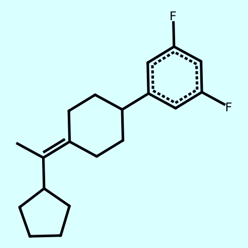 CC(=C1CCC(c2cc(F)cc(F)c2)CC1)C1CCCC1